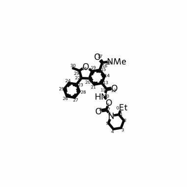 CCC1CCCCN1C(=O)ONC(=O)c1cc(C(=O)NC)c2c(c1)C(c1ccccc1)C(C)O2